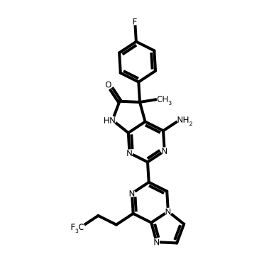 CC1(c2ccc(F)cc2)C(=O)Nc2nc(-c3cn4ccnc4c(CCC(F)(F)F)n3)nc(N)c21